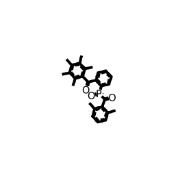 Cc1cccc(C)c1C(=O)[P](=O)c1ccccc1C(=O)c1c(C)c(C)c(C)c(C)c1C